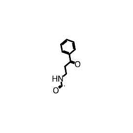 O=[C]NCCC(=O)c1ccccc1